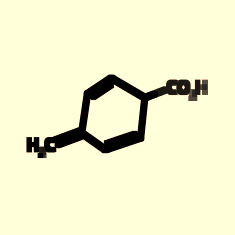 C=C1C=CC(C(=O)O)C=C1